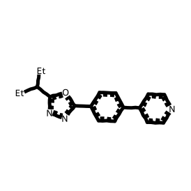 CCC(CC)c1nnc(-c2ccc(-c3ccncc3)cc2)o1